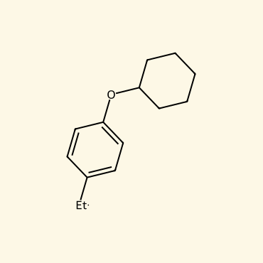 C[CH]c1ccc(OC2CCCCC2)cc1